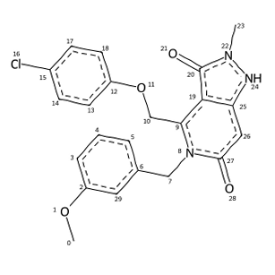 COc1cccc(Cn2c(COc3ccc(Cl)cc3)c3c(=O)n(C)[nH]c3cc2=O)c1